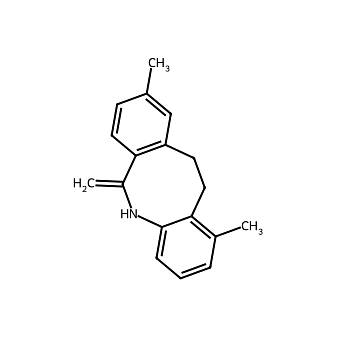 C=C1Nc2cccc(C)c2CCc2cc(C)ccc21